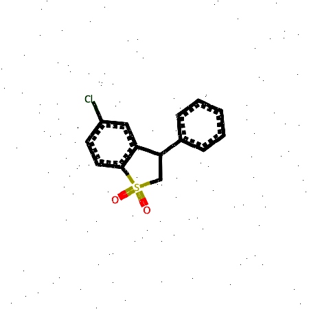 O=S1(=O)CC(c2ccccc2)c2cc(Cl)ccc21